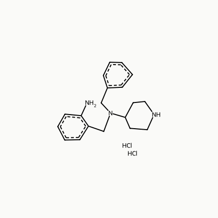 Cl.Cl.Nc1ccccc1CN(Cc1ccccc1)C1CCNCC1